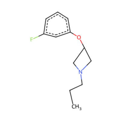 CCCN1CC(Oc2cccc(F)c2)C1